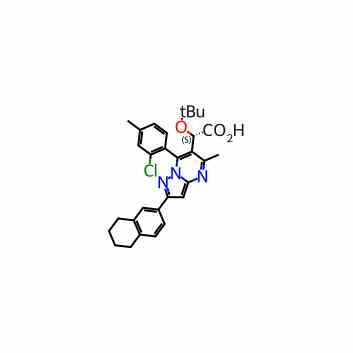 Cc1ccc(-c2c([C@H](OC(C)(C)C)C(=O)O)c(C)nc3cc(-c4ccc5c(c4)CCCC5)nn23)c(Cl)c1